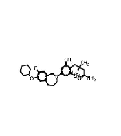 Cc1cc(N2CCCc3cc(OC4CCCCC4)c(F)cc3C2)cc(C)c1CC(C)(C)CC(N)=O